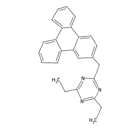 CCc1nc(CC)nc(Cc2ccc3c4ccccc4c4ccccc4c3c2)n1